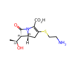 C[C@H](O)[C@@H]1C(=O)N2C(C(=O)O)=C(SCCN)C[C@H]12